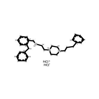 Cl.Cl.c1ccc(CCCN2CCN(CCOCc3ccccc3Cc3ccccc3)CC2)cc1